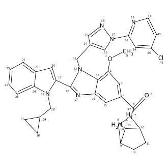 COc1cc(C(=O)N2CC3CCC2[C@@H]3N)cc2nc(-c3cc4ccccc4n3CC3CC3)n(Cc3cnn(-c4cc(Cl)ccn4)c3)c12